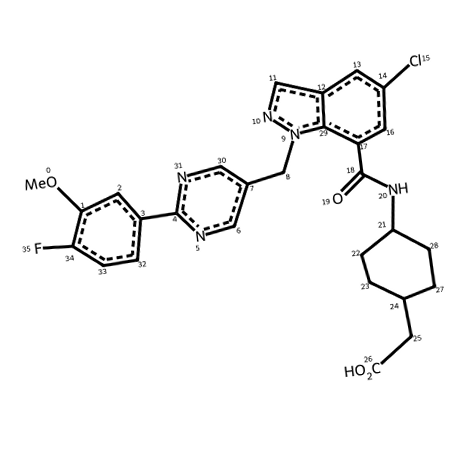 COc1cc(-c2ncc(Cn3ncc4cc(Cl)cc(C(=O)NC5CCC(CC(=O)O)CC5)c43)cn2)ccc1F